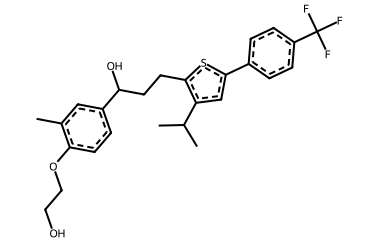 Cc1cc(C(O)CCc2sc(-c3ccc(C(F)(F)F)cc3)cc2C(C)C)ccc1OCCO